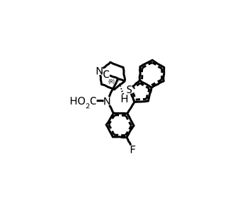 O=C(O)N(c1ccc(F)cc1-c1cc2ccccc2s1)[C@H]1CN2CCC1CC2